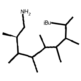 CCC(C)C(C)C(C)C(C)C(C)C(C)C(C)[C@@H](C)CN